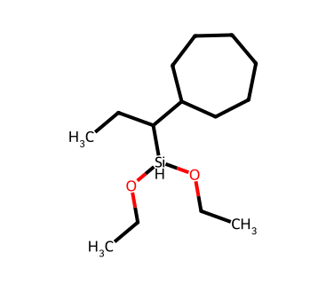 CCO[SiH](OCC)C(CC)C1CCCCCC1